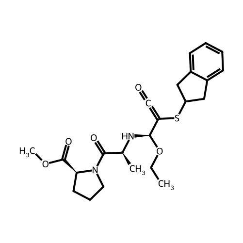 CCO[C@@H](N[C@@H](C)C(=O)N1CCC[C@H]1C(=O)OC)C(=C=O)SC1Cc2ccccc2C1